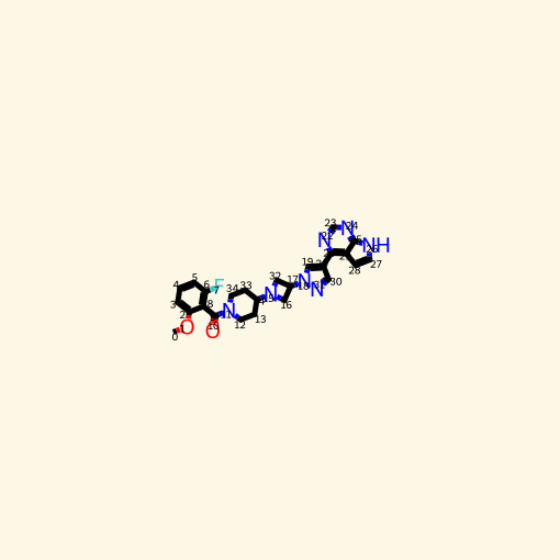 COc1cccc(F)c1C(=O)N1CCC(N2C[C](n3cc(-c4ncnc5[nH]ccc45)cn3)C2)CC1